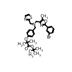 Cc1oc(-c2cccc(Br)c2)nc1CN(Cc1ccc(OC(C)(C)C(=O)OC(C)(C)C)cc1)Cc1nccs1